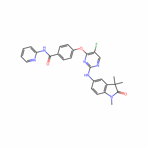 CN1C(=O)C(C)(C)c2cc(Nc3ncc(F)c(Oc4ccc(C(=O)Nc5ccccn5)cc4)n3)ccc21